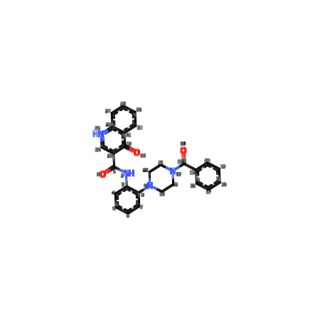 O=C(Nc1ccccc1N1CCN(C(=O)c2ccccc2)CC1)c1c[nH]c2ccccc2c1=O